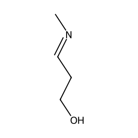 C/N=C/CCO